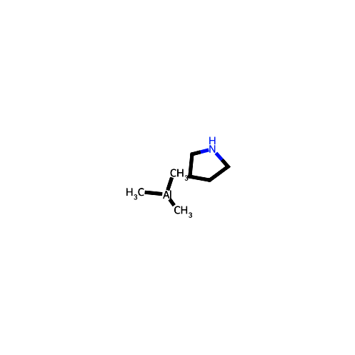 C1CCNC1.[CH3][Al]([CH3])[CH3]